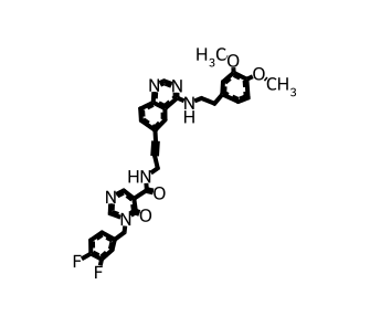 COc1ccc(CCNc2ncnc3ccc(C#CCNC(=O)c4cncn(Cc5ccc(F)c(F)c5)c4=O)cc23)cc1OC